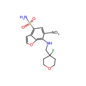 NS(=O)(=O)c1cc([N+](=O)[O-])c(NCC2(F)CCOCC2)c2occc12